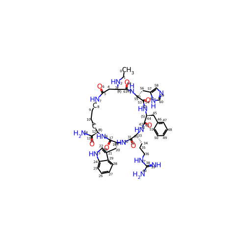 CCN[C@@H]1CC(=O)NCCCC[C@H](C(N)=O)NC(=O)[C@@H](Cc2c[nH]c3ccccc23)NC(=O)[C@@H](CCCNC(=N)N)NC(=O)[C@H](Cc2ccccc2)NC(=O)[C@@H](Cc2cnc[nH]2)NC1=O